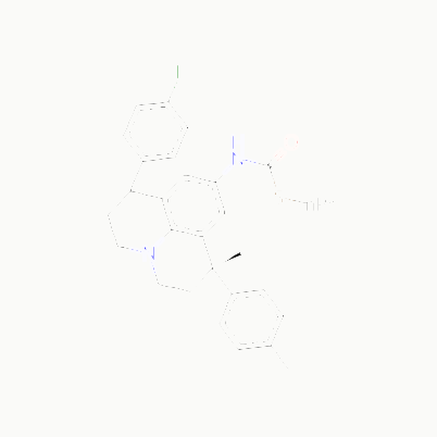 CCCSC(=O)Nc1cc2c3c(c1)[C@](C)(c1ccc(F)cc1)CCN3CC[C@@]2(C)c1ccc(C)cc1